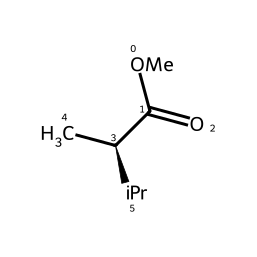 COC(=O)[C@H](C)C(C)C